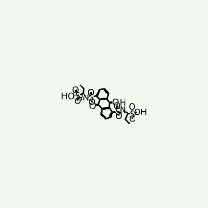 CCC(NS(=O)(=O)c1cccc2c1C(=O)c1cccc(S(=O)(=O)NC(CC)S(=O)(=O)O)c1C2=O)S(=O)(=O)O